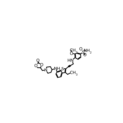 CCc1c(C#CCNc2ccc(S(N)(=O)=O)cc2OC)sc2c(NC3CCN(CC4COC(=O)O4)CC3)cccc12